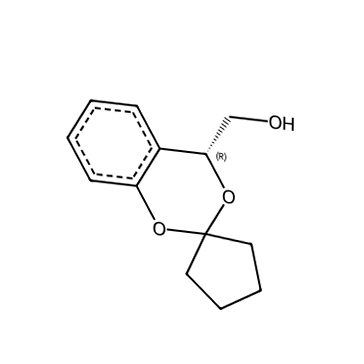 OC[C@@H]1OC2(CCCC2)Oc2ccccc21